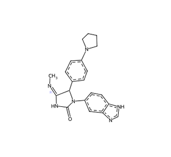 C/N=C1/NC(=O)N(c2ccc3[nH]cnc3c2)C1c1ccc(N2CCCC2)cc1